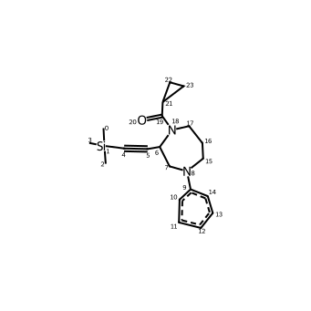 C[Si](C)(C)C#CC1CN(c2ccccc2)CCCN1C(=O)C1CC1